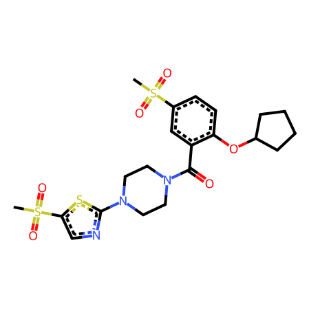 CS(=O)(=O)c1ccc(OC2CCCC2)c(C(=O)N2CCN(c3ncc(S(C)(=O)=O)s3)CC2)c1